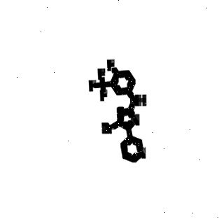 Fc1ccc(Nc2nc(-c3cccnc3)c(Br)s2)cc1C(F)(F)F